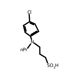 CCCN(CCCS(=O)(=O)O)c1ccc(Cl)cc1